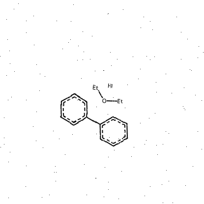 CCOCC.I.c1ccc(-c2ccccc2)cc1